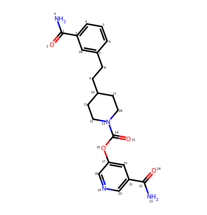 NC(=O)c1cccc(CCC2CCN(C(=O)Oc3cncc(C(N)=O)c3)CC2)c1